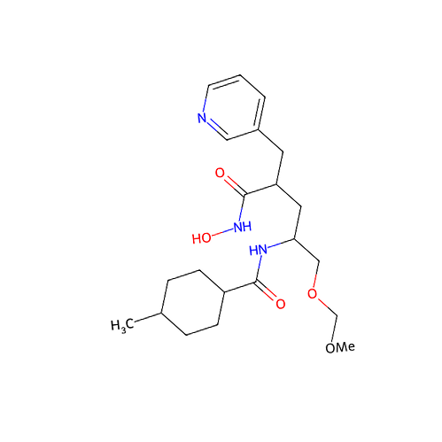 COCOCC(CC(Cc1cccnc1)C(=O)NO)NC(=O)C1CCC(C)CC1